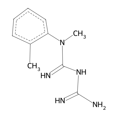 Cc1ccccc1N(C)C(=N)NC(=N)N